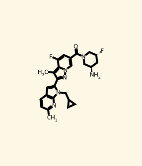 Cc1ccc2cc(-c3nn4cc(C(=O)N5C[C@H](N)C[C@@H](F)C5)cc(F)c4c3C)n(CC3CC3)c2n1